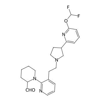 O=CC1CCCCN1c1ncccc1CCN1CCC(c2cccc(OC(F)F)n2)C1